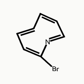 BrC1=C/C=C/C=C\C=N\1